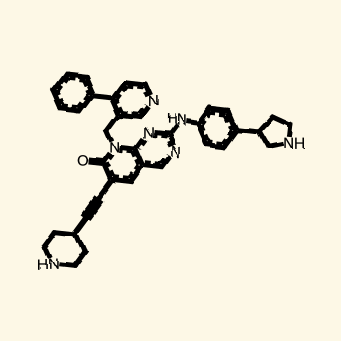 O=c1c(C#CC2CCNCC2)cc2cnc(Nc3ccc(C4CCNC4)cc3)nc2n1Cc1cnccc1-c1ccccc1